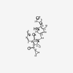 C=N/C=C\C1=C(C(=O)C2CC2)C(C)N(CC2=CC(C)=C(OCC(F)(F)F)NC2)C1=O